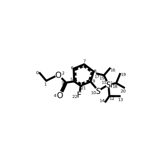 CCOC(=O)c1cccc(S[Si](C(C)C)(C(C)C)C(C)C)c1F